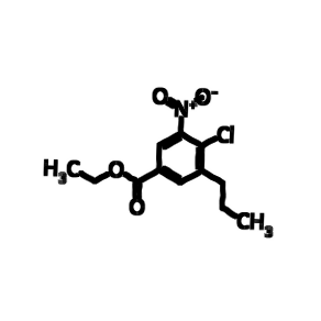 CCCc1cc(C(=O)OCC)cc([N+](=O)[O-])c1Cl